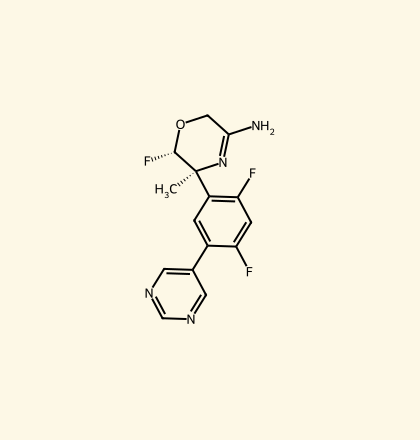 C[C@@]1(c2cc(-c3cncnc3)c(F)cc2F)N=C(N)CO[C@H]1F